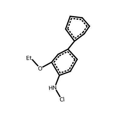 CCOc1cc(-c2ccccc2)ccc1NCl